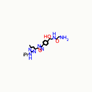 Cc1cc(-c2nc(-c3ccc(C(O)CNC(=O)CN)cc3)no2)nc(NC(C)C)n1